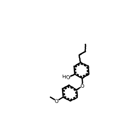 CCCc1ccc(Oc2ccc(OC)cc2)c(O)c1